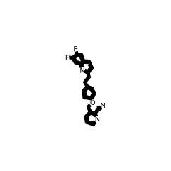 N#Cc1ncccc1COc1ccc(CCc2ccc3cc(F)c(F)cc3n2)cc1